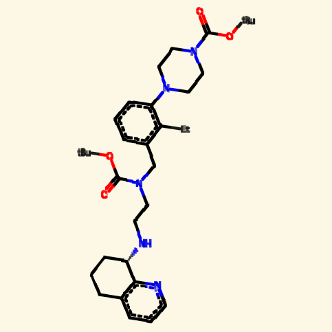 CCc1c(CN(CCN[C@H]2CCCc3cccnc32)C(=O)OC(C)(C)C)cccc1N1CCN(C(=O)OC(C)(C)C)CC1